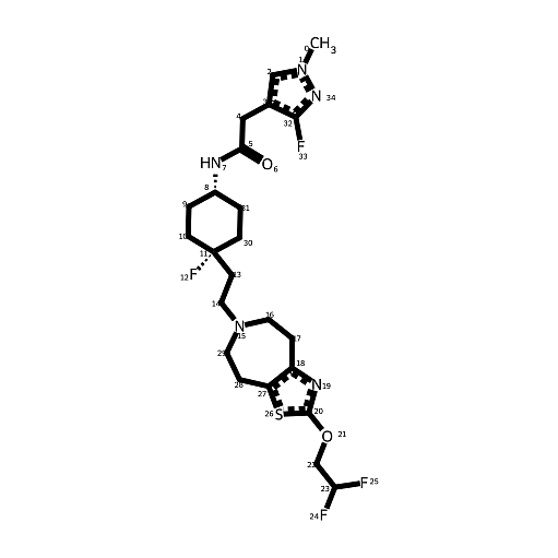 Cn1cc(CC(=O)N[C@H]2CC[C@](F)(CCN3CCc4nc(OCC(F)F)sc4CC3)CC2)c(F)n1